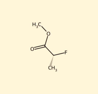 COC(=O)[C@@H](C)F